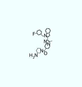 Cc1c(-c2cc3ccccc3n2Cc2cccc(F)c2)nc2cc(C(=O)N3CCC[C@@H](N)C3)ccn12